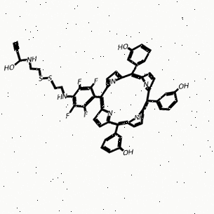 C#CC(O)NCCSSCCNc1c(F)c(F)c(-c2c3nc(c(-c4cccc(O)c4)c4ccc([nH]4)c(-c4cccc(O)c4)c4nc(c(-c5cccc(O)c5)c5ccc2[nH]5)C=C4)C=C3)c(F)c1F